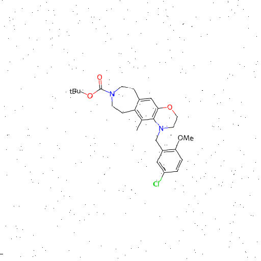 COc1ccc(Cl)cc1CN1CCOc2cc3c(c(C)c21)CCN(C(=O)OC(C)(C)C)CC3